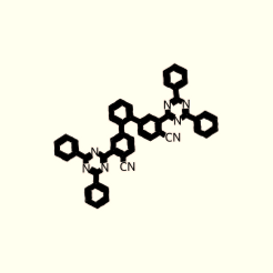 N#Cc1ccc(-c2ccccc2-c2ccc(C#N)c(-c3nc(-c4ccccc4)nc(-c4ccccc4)n3)c2)cc1-c1nc(-c2ccccc2)nc(-c2ccccc2)n1